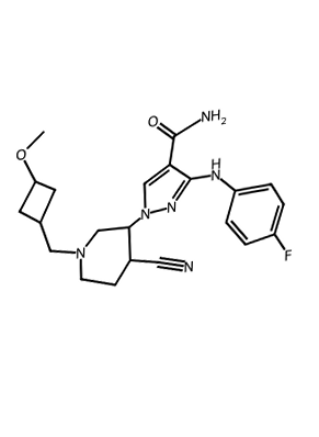 COC1CC(CN2CCC(C#N)C(n3cc(C(N)=O)c(Nc4ccc(F)cc4)n3)C2)C1